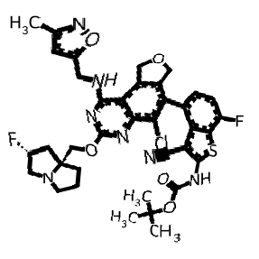 Cc1cc(CNc2nc(OC[C@@]34CCCN3C[C@H](F)C4)nc3c(Cl)c(-c4ccc(F)c5sc(NC(=O)OC(C)(C)C)c(C#N)c45)c4c(c23)COC4)on1